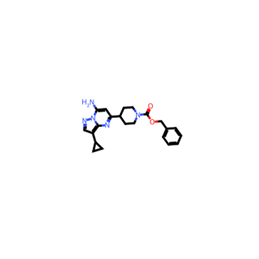 Nc1cc(C2CCN(C(=O)OCc3ccccc3)CC2)nc2c(C3CC3)cnn12